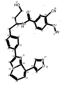 CC(C)Oc1ccc(C(=O)N[C@H](CCO)Cc2ccc(-c3cn4cccc(-c5cnoc5)c4n3)cc2)cc1C#N